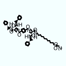 CN(C)CC(=O)OCCCCCCCCCCCCNC(=O)[C@@H]1CN(C(=O)c2ccc(C(=O)N3C[C@@H](C(=O)N[C@H]4C[C@@H]4c4ccccc4)[C@H](C(=O)N[C@H]4C[C@@H]4c4ccccc4)C3)cc2)C[C@H]1C(=O)N[C@H]1C[C@@H]1c1ccccc1